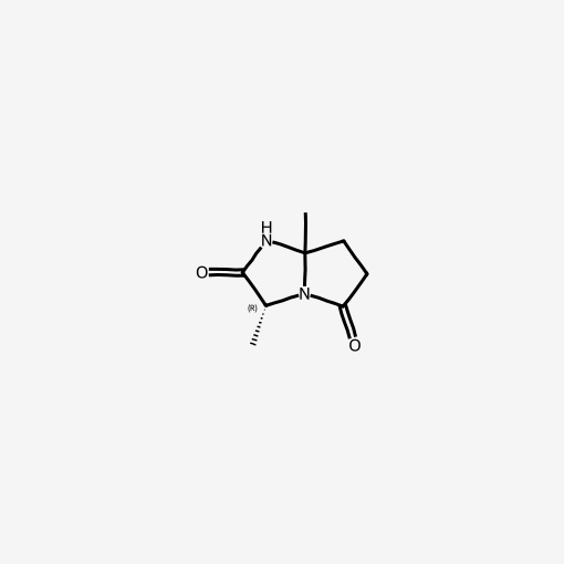 C[C@@H]1C(=O)NC2(C)CCC(=O)N12